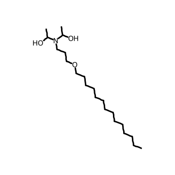 CCCCCCCCCCCCCCOCCCN(C(C)O)C(C)O